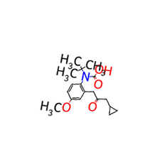 COc1ccc(N(C(=O)O)C(C)(C)C)c(CC(=O)CC2CC2)c1